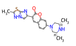 Cc1nn2cc(-c3cc4ccc(N5C[C@@H](C)N[C@@H](C)C5)cc4oc3=O)nc2s1